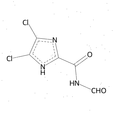 O=CNC(=O)c1nc(Cl)c(Cl)[nH]1